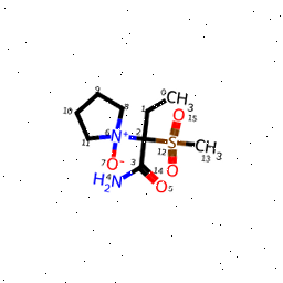 CCC(C(N)=O)([N+]1([O-])CCCC1)S(C)(=O)=O